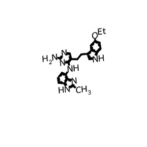 CCOc1ccc2[nH]cc(CCc3cnc(N)nc3Nc3cccc4[nH]c(C)nc34)c2c1